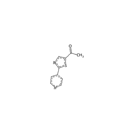 CC(=O)c1cnc(-c2ccncc2)s1